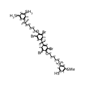 CSc1cc(S)cc([Si](C)(C)CCCCCOc2c(Br)cc(C(C)(C)c3cc(Br)c(OCCCCC[Si](C)(C)c4cc([SiH3])cc([SiH3])c4)c(Br)c3)cc2Br)c1